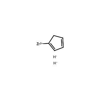 [H-].[H-].[Zr+2][C]1=CC=CC1